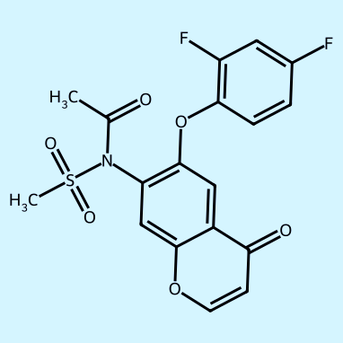 CC(=O)N(c1cc2occc(=O)c2cc1Oc1ccc(F)cc1F)S(C)(=O)=O